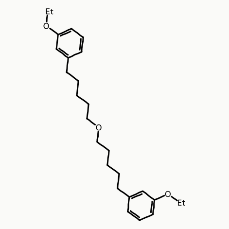 CCOc1cccc(CCCCCOCCCCCc2cccc(OCC)c2)c1